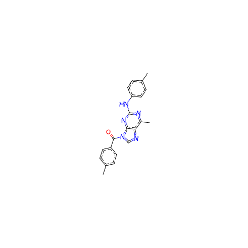 Cc1ccc(Nc2nc(C)c3ncn(C(=O)c4ccc(C)cc4)c3n2)cc1